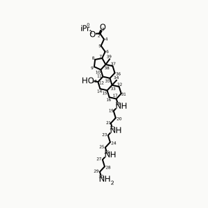 CC(C)OC(=O)CCCC1CCC2C3C(O)CC4CC(NCCCNCCCNCCCN)CCC4(C)C3CCC12C